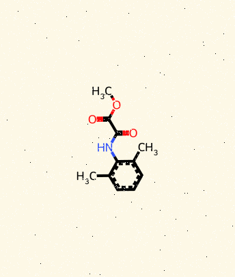 COC(=O)C(=O)Nc1c(C)cccc1C